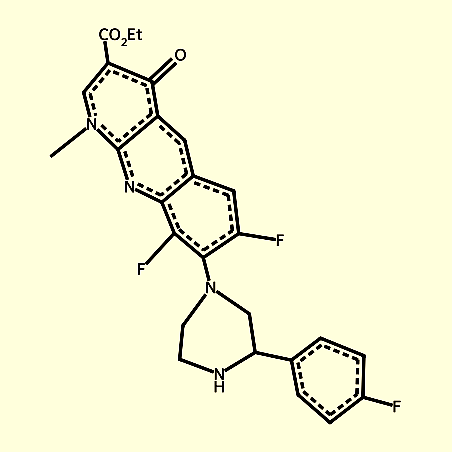 CCOC(=O)c1cn(C)c2nc3c(F)c(N4CCNC(c5ccc(F)cc5)C4)c(F)cc3cc2c1=O